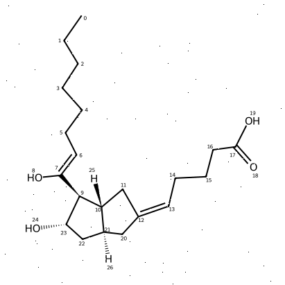 CCCCCCC=C(O)[C@H]1[C@@H]2C/C(=C\CCCC(=O)O)C[C@H]2C[C@@H]1O